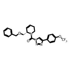 O=C(N1CCC=C[C@H]1COCc1ccccc1)n1cc(-c2ccc(OC(F)(F)F)cc2)nn1